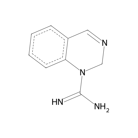 N=C(N)N1CN=Cc2ccccc21